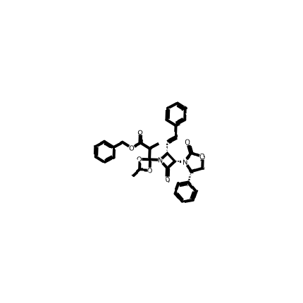 CC1OC(C(C)C(=O)OCc2ccccc2)(N2C(=O)[C@@H](N3C(=O)OC[C@@H]3c3ccccc3)[C@H]2C=Cc2ccccc2)O1